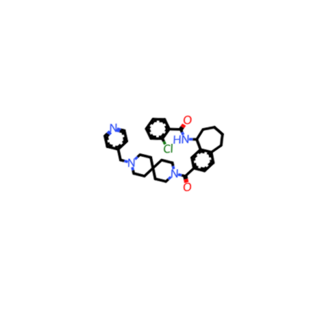 O=C(NC1CCCCc2ccc(C(=O)N3CCC4(CCN(Cc5ccncc5)CC4)CC3)cc21)c1ccccc1Cl